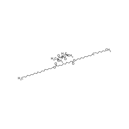 CCCCCCCCCCCCCCCCCCOC(=O)CCCCCCCCC(=O)OCCCCCCCCCCCCCCCCCC.CN(C)C(=O)N=NC(=O)N(C)C